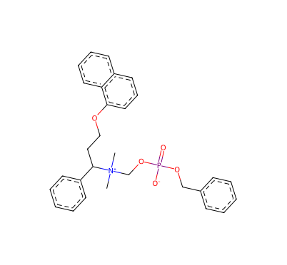 C[N+](C)(COP(=O)([O-])OCc1ccccc1)C(CCOc1cccc2ccccc12)c1ccccc1